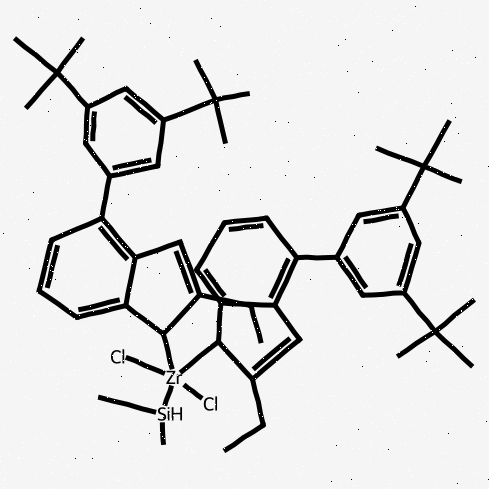 CCC1=Cc2c(-c3cc(C(C)(C)C)cc(C(C)(C)C)c3)cccc2[CH]1[Zr]([Cl])([Cl])([CH]1C(CC)=Cc2c(-c3cc(C(C)(C)C)cc(C(C)(C)C)c3)cccc21)[SiH](C)C